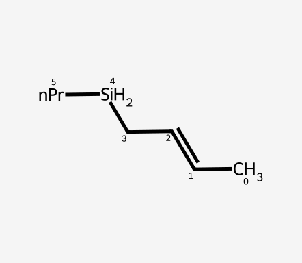 CC=CC[SiH2]CCC